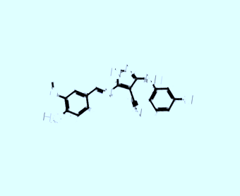 COc1cc(/C=N/c2[nH]nc(Nc3cccc(Cl)c3)c2C#N)ccc1O